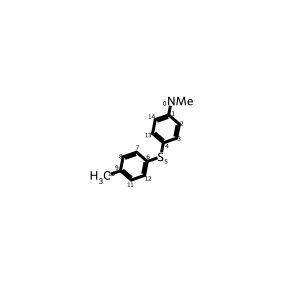 CNc1ccc(Sc2ccc(C)cc2)cc1